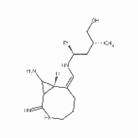 CC[C@@H](C[C@@H](C)CO)N/C=C1/CCCNC(=N)C2C(N)[C@H]12